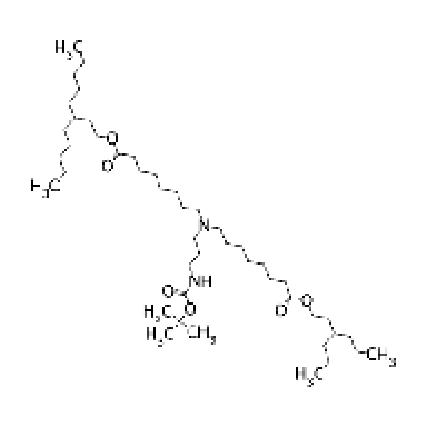 CCCCCC(CCCCC)CCOC(=O)CCCCCCCN(CCCCCCCC(=O)OCCC(CCC)CCC)CCCNC(=O)OC(C)(C)C